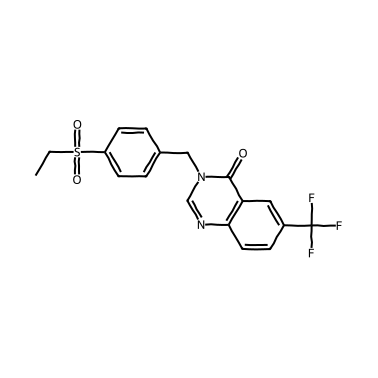 CCS(=O)(=O)c1ccc(Cn2cnc3ccc(C(F)(F)F)cc3c2=O)cc1